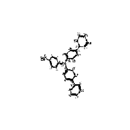 Brc1ccc(N(C2=CC=C(c3ccccc3)CC2)c2ccc(C3C=CC=CC3)cc2)cc1